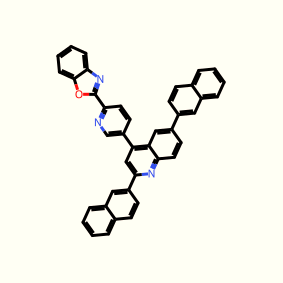 c1ccc2cc(-c3ccc4nc(-c5ccc6ccccc6c5)cc(-c5ccc(-c6nc7ccccc7o6)nc5)c4c3)ccc2c1